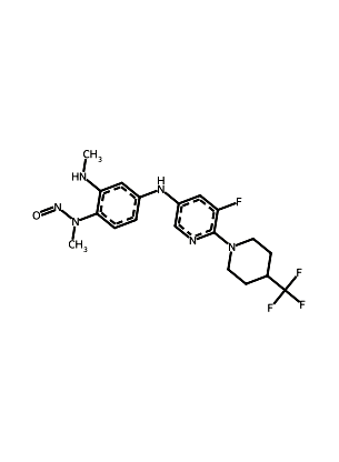 CNc1cc(Nc2cnc(N3CCC(C(F)(F)F)CC3)c(F)c2)ccc1N(C)N=O